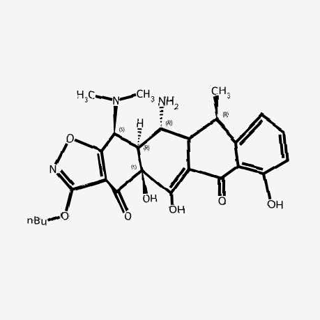 CCCCOc1noc2c1C(=O)[C@@]1(O)C(O)=C3C(=O)c4c(O)cccc4[C@H](C)C3[C@@H](N)[C@@H]1[C@@H]2N(C)C